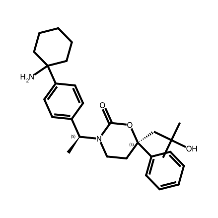 C[C@@H](c1ccc(C2(N)CCCCC2)cc1)N1CC[C@](CC(C)(C)O)(c2ccccc2)OC1=O